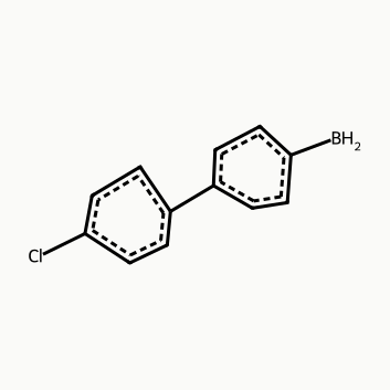 Bc1ccc(-c2ccc(Cl)cc2)cc1